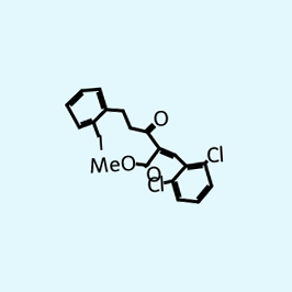 COC(=O)C(=Cc1c(Cl)cccc1Cl)C(=O)CCc1ccccc1I